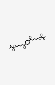 C=C(C)C(=O)OCCCCC(=O)C1CCC(C(=O)CCCCOC(=O)C(=C)C)CC1